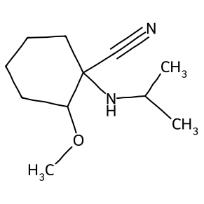 COC1CCCCC1(C#N)NC(C)C